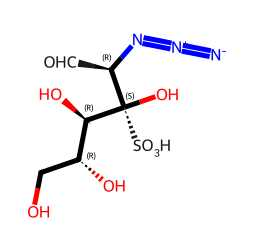 [N-]=[N+]=N[C@H](C=O)[C@@](O)([C@H](O)[C@H](O)CO)S(=O)(=O)O